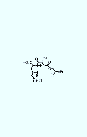 CCCCC(CC)COC(=O)N[C@@H](C)C(=O)N[C@@H](Cc1c[nH]cn1)C(=O)O.Cl